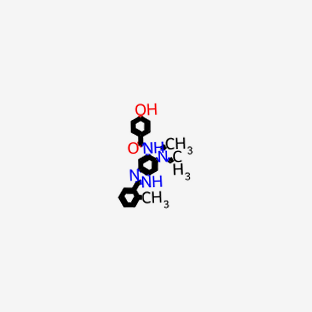 CCN(CC)c1cc2[nH]c(-c3ccccc3C)nc2cc1NC(=O)C1=CCC(O)C=C1